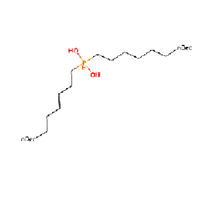 CCCCCCCCCCCCCCCC[PH](O)(O)CCCCCCCCCCCCCCCC